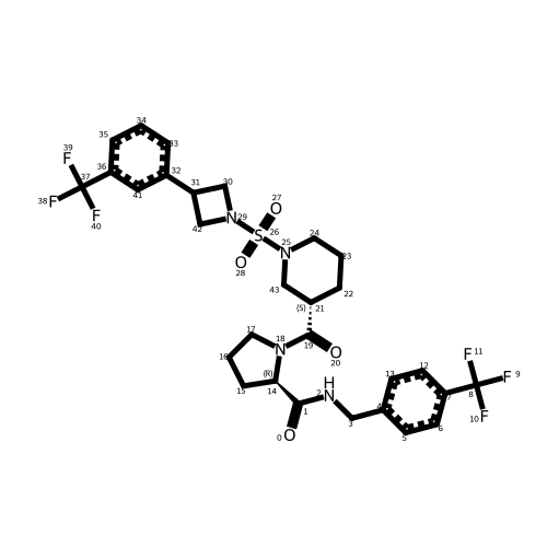 O=C(NCc1ccc(C(F)(F)F)cc1)[C@H]1CCCN1C(=O)[C@H]1CCCN(S(=O)(=O)N2CC(c3cccc(C(F)(F)F)c3)C2)C1